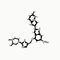 COc1cc(OCc2csc(N3CCN(C)C(C)C3)n2)c2cc(-c3cn4nc(C)ccc4n3)oc2c1